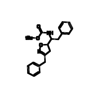 CC(C)(C)OC(=O)NC(Cc1ccccc1)C1CC(Cc2ccccc2)=NO1